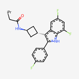 CC(C)CC(=O)N[C@H]1C[C@H](c2c(-c3ccc(F)cc3)[nH]c3c(F)cc(F)cc32)C1